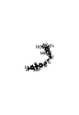 CCN(CC)c1ccc(C2=C(O)C(=C3C=CC(=[N+](CC)CCOC(=O)CCC(=O)OCCOc4cc(=C(C#N)C#N)c(OCCO)cc4=C(C#N)C#N)C=C3)C2=O)c(O)c1